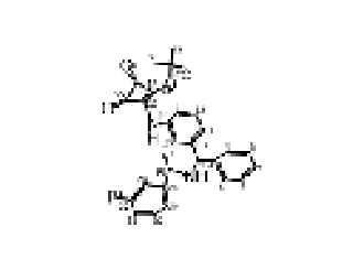 C[C@@H](NC(c1ccccc1)c1cccc(Nc2c(OC(C)(C)C)c(=O)c2=O)c1)c1cccc(F)c1